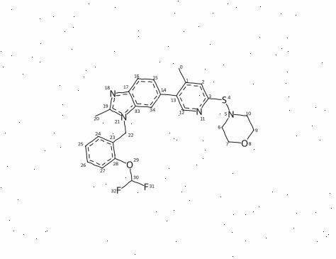 Cc1cc(SN2CCOCC2)ncc1-c1ccc2nc(C)n(Cc3ccccc3OC(F)F)c2c1